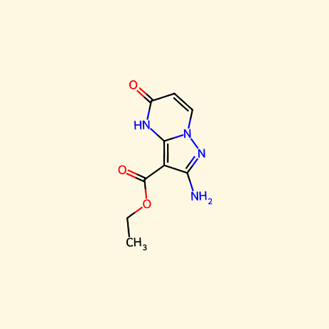 CCOC(=O)c1c(N)nn2ccc(=O)[nH]c12